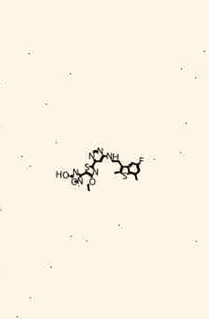 CCOc1nc(-c2cc(NCCc3c(C)sc4c(C)cc(F)cc34)ncn2)sc1-c1noc(O)n1